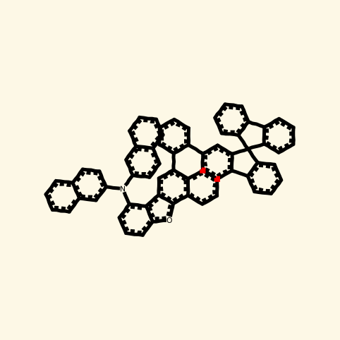 c1ccc(-c2cc3c(oc4cccc(N(c5ccc6ccccc6c5)c5ccc6ccccc6c5)c43)c3ccccc23)c(-c2ccc3c(c2)C2(c4ccccc4-c4ccccc42)c2ccccc2-3)c1